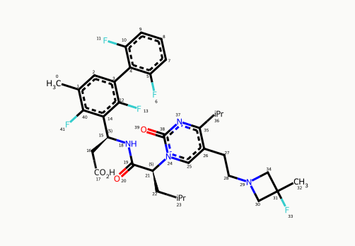 Cc1cc(-c2c(F)cccc2F)c(F)c([C@H](CC(=O)O)NC(=O)[C@H](CC(C)C)n2cc(CCN3CC(C)(F)C3)c(C(C)C)nc2=O)c1F